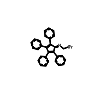 CC(C)CN=C1C(c2ccccc2)=C(c2ccccc2)C(c2ccccc2)=C1c1ccccc1